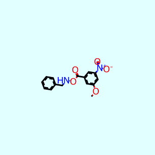 COc1cc(C(=O)ONCc2ccccc2)cc([N+](=O)[O-])c1